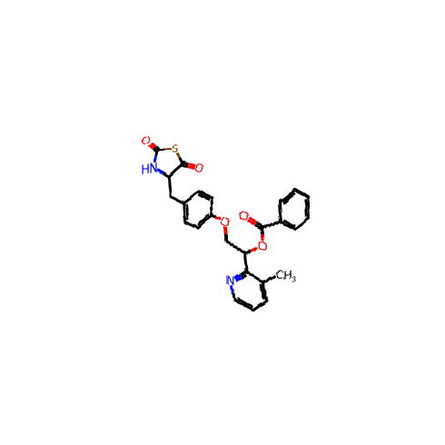 Cc1cccnc1C(COc1ccc(CC2NC(=O)SC2=O)cc1)OC(=O)c1ccccc1